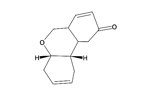 O=C1C=CC2CO[C@H]3CC=CC[C@H]3C2C1